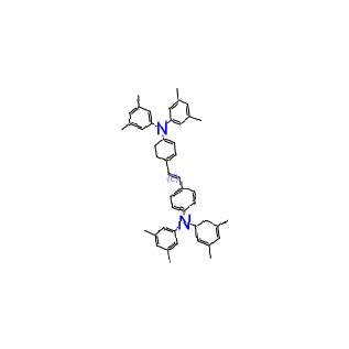 CC1=CC(N(c2ccc(/C=C/C3=CC=C(N(c4cc(C)cc(C)c4)c4cc(C)cc(C)c4)CC3)cc2)c2cc(C)cc(C)c2)CC(C)=C1